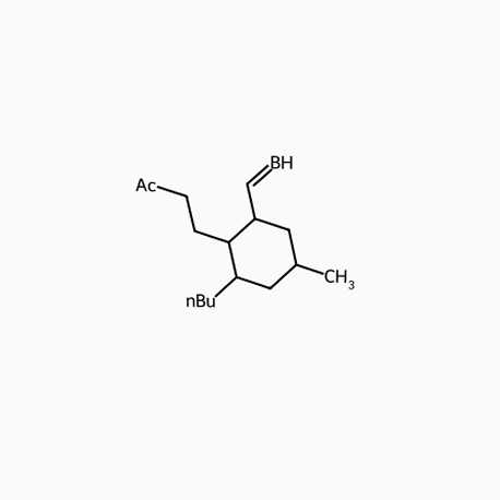 B=CC1CC(C)CC(CCCC)C1CCC(C)=O